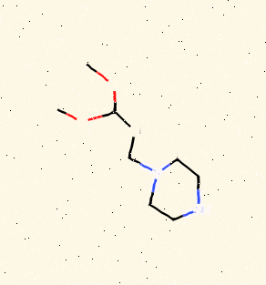 COC(OC)[SiH2]CN1CCNCC1